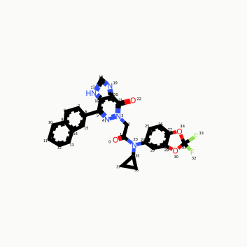 O=C(Cn1nc(-c2ccc3ccccc3c2)c2[nH]cnc2c1=O)N(c1ccc2c(c1)OC(F)(F)O2)C1CC1